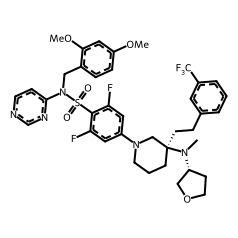 COc1ccc(CN(c2ccncn2)S(=O)(=O)c2c(F)cc(N3CCC[C@](CCc4cccc(C(F)(F)F)c4)(N(C)[C@@H]4CCOC4)C3)cc2F)c(OC)c1